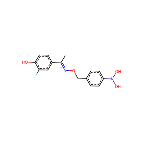 C/C(=N\OCc1ccc(N(O)O)cc1)c1ccc(O)c(F)c1